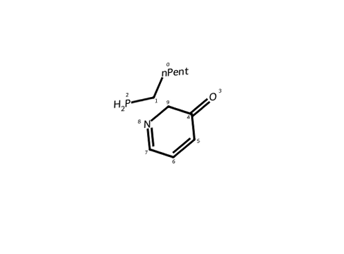 CCCCCCP.O=C1C=CC=NC1